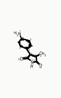 CC1=C(c2ccc(N)cc2)C(=O)NC1=O